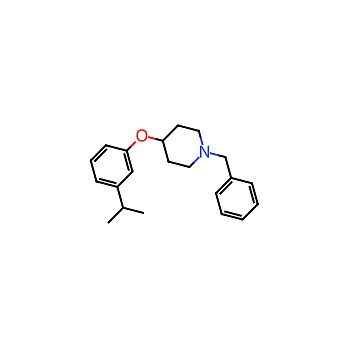 CC(C)c1cccc(OC2CCN(Cc3ccccc3)CC2)c1